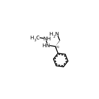 CNN[C@H](CN)c1ccccc1